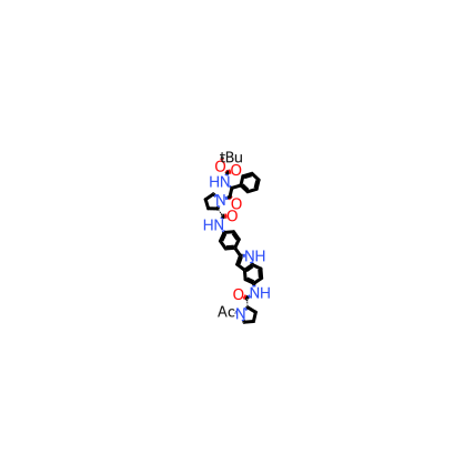 CC(=O)N1CCC[C@H]1C(=O)Nc1ccc2[nH]c(-c3ccc(NC(=O)[C@@H]4CCCN4C(=O)[C@@H](NC(=O)OC(C)(C)C)c4ccccc4)cc3)cc2c1